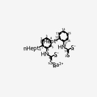 CCCCCCCc1ccccc1NC(=S)[S-].CCCCCCCc1ccccc1NC(=S)[S-].[Ba+2]